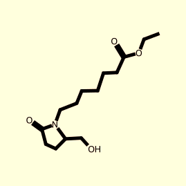 CCOC(=O)CCCCCCN1C(=O)CCC1CO